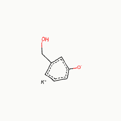 [K+].[O-]c1cccc(CO)c1